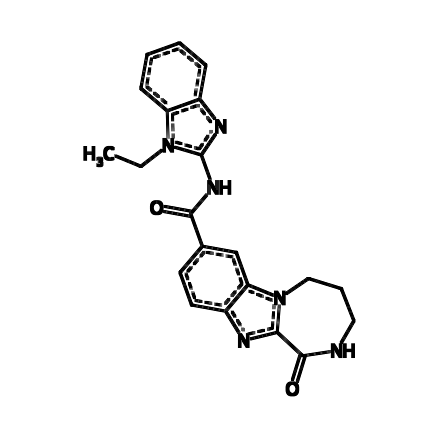 CCn1c(NC(=O)c2ccc3nc4n(c3c2)CCCNC4=O)nc2ccccc21